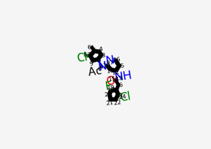 CC(=O)N(c1ccc(C)c(Cl)c1)c1cc(NC(=O)Cc2c(F)cccc2Cl)ccn1